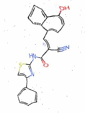 N#C/C(=C\c1ccc(O)c2ccccc12)C(=O)Nc1nc(-c2ccccc2)cs1